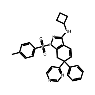 Cc1ccc(S(=O)(=O)n2nc(NC3CCC3)c3c2CC(c2ccccc2)(c2ccncn2)C=C3)cc1